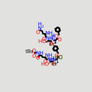 CC(C)C[C@H](NC(=O)[C@H](CO)NC(=O)[C@@H](N)CCC(=O)NC(=O)OC(C)(C)C)C(=O)OCc1ccccc1.CC(C)C[C@H](NC(=O)[C@H](CO)NC(=O)[C@@H](N)CCC(N)=O)C(=O)OCc1ccccc1.Cl